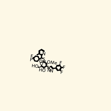 CO[C@@H]1[C@@H](n2cc(-c3cc(F)c(F)c(F)c3)nn2)[C@@H](O)[C@@H](CO)O[C@H]1SC(c1ncccc1C)C1(O)CCC(F)(F)CC1